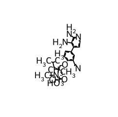 CC(C)CC(C)(COc1ccc(-c2ccnc(N)c2N)cc1C#N)N(C(=O)O)C(C)(C)C